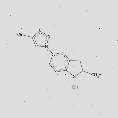 CCCCc1cn(-c2ccc3c(c2)CC(C(=O)O)N3O)nn1